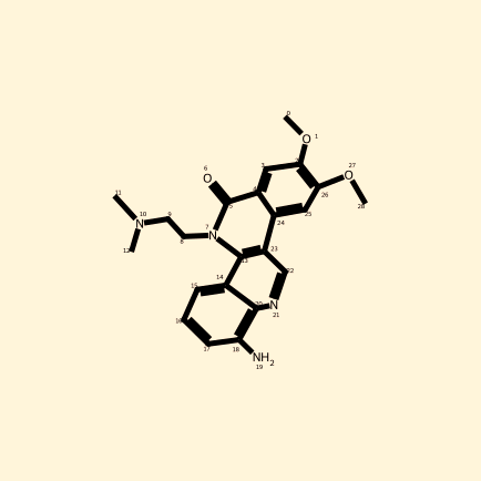 COc1cc2c(=O)n(CCN(C)C)c3c4cccc(N)c4ncc3c2cc1OC